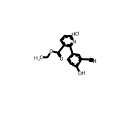 CCOC(=O)c1cccnc1-c1ccc(O)c(C#N)c1.Cl